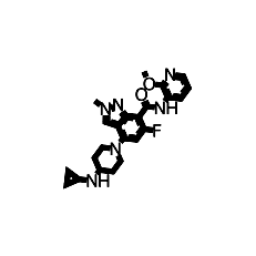 COc1ncccc1NC(=O)c1c(F)cc(N2CCC(NC3CC3)CC2)c2cn(C)nc12